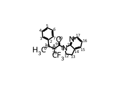 C[C@H](c1ccccc1)[C@@H](C(=O)N1CCc2cccnc21)C(F)(F)F